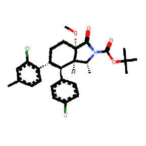 CO[C@@]12CC[C@@H](c3ccc(C)cc3Cl)[C@H](c3ccc(Cl)cc3)[C@@H]1[C@@H](C)N(C(=O)OC(C)(C)C)C2=O